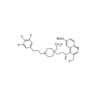 COc1ccc2ncc(CF)c([C@@H](F)CCC3(CC(=O)O)CCN(CCCc4cc(F)c(F)c(F)c4)CC3)c2c1